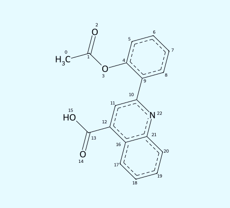 CC(=O)Oc1ccccc1-c1cc(C(=O)O)c2ccccc2n1